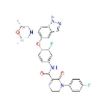 C[C@@H]1CN(c2cc3[nH]ncc3cc2Oc2ccc(NC(=O)c3cccn(-c4ccc(F)cc4)c3=O)cc2F)C[C@H](C)O1